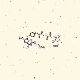 COCCOc1nc(N)c2nc(O)n(Cc3ccc(CNC(=O)CCC(=O)NCCN4C(=O)CC(SC(C)(C)C)C4=O)cc3)c2n1